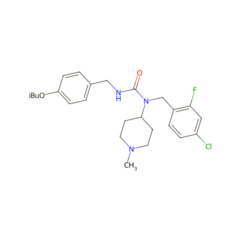 CC(C)COc1ccc(CNC(=O)N(Cc2ccc(Cl)cc2F)C2CCN(C)CC2)cc1